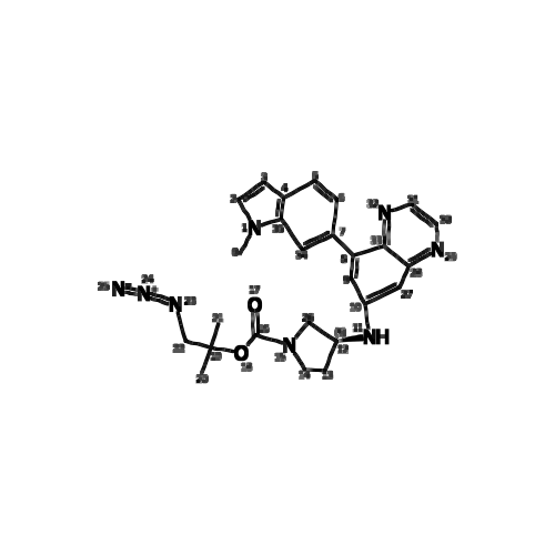 Cn1ccc2ccc(-c3cc(N[C@H]4CCN(C(=O)OC(C)(C)CN=[N+]=[N-])C4)cc4nccnc34)cc21